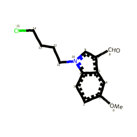 COc1ccc2c(c1)c(C=O)cn2CCCCCl